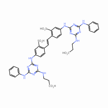 O=C(O)CCNc1nc(Nc2ccccc2)nc(Nc2ccc(/C=C/c3ccc(Nc4nc(NCCC(=O)O)nc(Nc5ccccc5)n4)cc3S(=O)(=O)O)c(S(=O)(=O)O)c2)n1